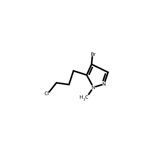 Cn1ncc(Br)c1CCCCl